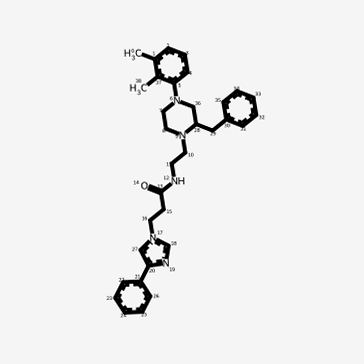 Cc1cccc(N2CCN(CCNC(=O)CCn3cnc(-c4ccccc4)c3)C(Cc3ccccc3)C2)c1C